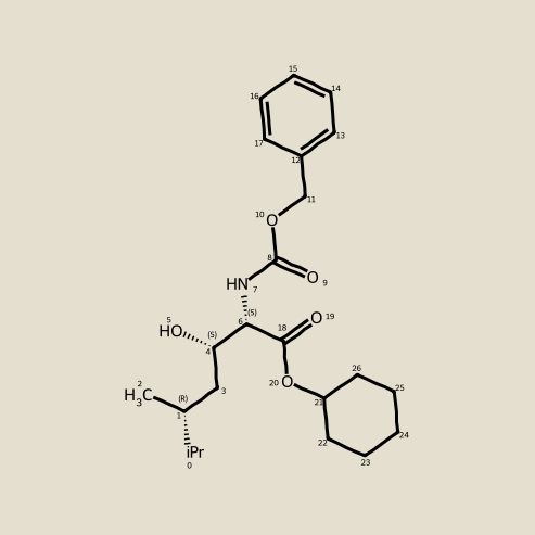 CC(C)[C@H](C)C[C@H](O)[C@H](NC(=O)OCc1ccccc1)C(=O)OC1CCCCC1